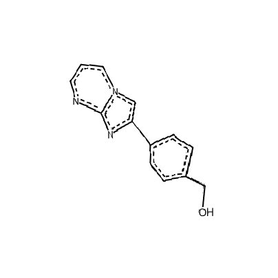 OCc1ccc(-c2cn3cccnc3n2)cc1